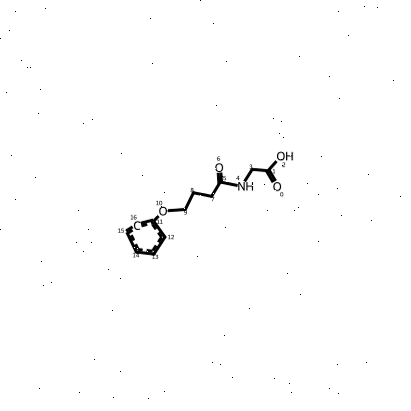 O=C(O)CNC(=O)CCCOc1ccccc1